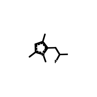 Cc1cc(C)n(C)c1CC(C)F